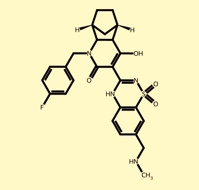 CNCc1ccc2c(c1)S(=O)(=O)N=C(C1=C(O)C3C([C@@H]4CC[C@H]3C4)N(Cc3ccc(F)cc3)C1=O)N2